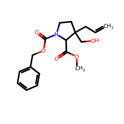 C=CCC1(CO)CCN(C(=O)OCc2ccccc2)C1C(=O)OC